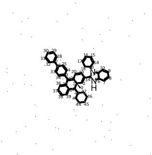 C[C@]12C=C(C3NC4C=CC=CC4N3C3C=CC=CC3)C=CC1=C(c1ccc(-c3ccccc3)cc1)c1ccccc1C2C1CCCCC1